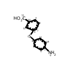 Nc1ccc(Sc2cccc(C(=O)O)c2)cc1